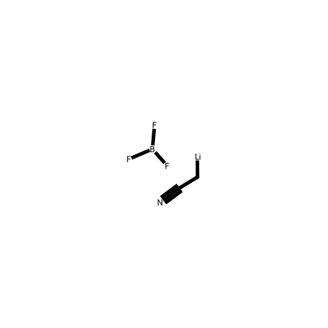 FB(F)F.[Li][CH2]C#N